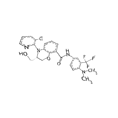 CN(C)c1ccc(NC(=O)c2cccc3c2OC[C@H](CO)N3c2ncccc2Cl)cc1C(F)(F)F